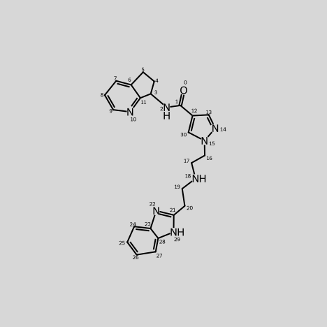 O=C(NC1CCc2cccnc21)c1cnn(CCNCCc2nc3ccccc3[nH]2)c1